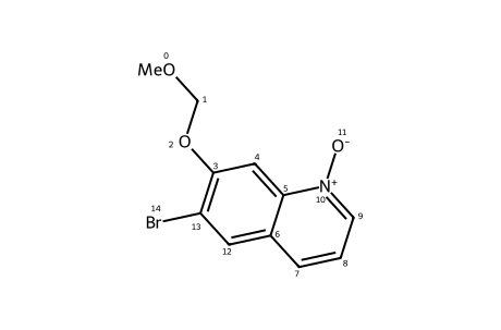 COCOc1cc2c(ccc[n+]2[O-])cc1Br